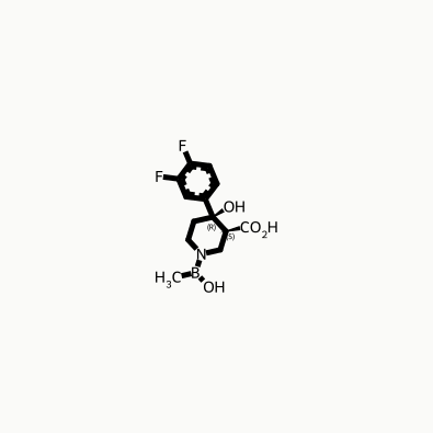 CB(O)N1CC[C@](O)(c2ccc(F)c(F)c2)[C@@H](C(=O)O)C1